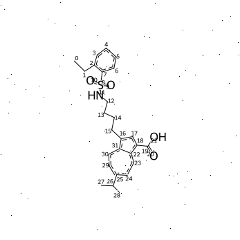 CCc1ccccc1S(=O)(=O)NCCCCc1cc(C(=O)O)c2ccc(C(C)C)ccc1-2